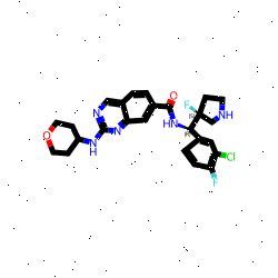 O=C(N[C@H](c1ccc(F)c(Cl)c1)[C@]1(F)CCNC1)c1ccc2cnc(NC3CCOCC3)nc2c1